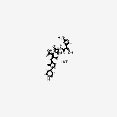 Cl.Nc1nc(/C(=N/O)C(=O)N[C@@H]2C(=O)N3C(C(=O)O)=C(C=C4CCN(C5CCNCC5)C4=O)CS[C@H]23)cs1